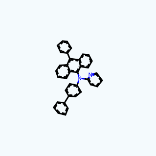 c1ccc(-c2ccc(N(c3ccccn3)c3c4ccccc4c(-c4ccccc4)c4ccccc34)cc2)cc1